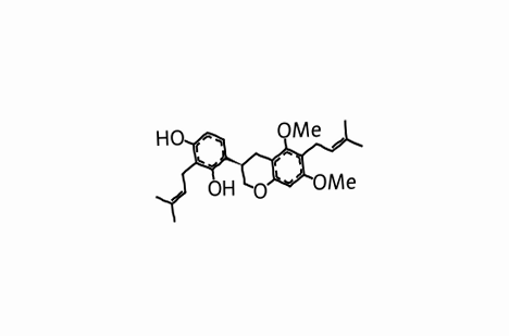 COc1cc2c(c(OC)c1CC=C(C)C)C[C@H](c1ccc(O)c(CC=C(C)C)c1O)CO2